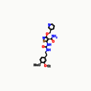 CCOc1cc(CCNC(=O)Nc2snc(OCc3cccnc3)c2C(N)=O)ccc1OC